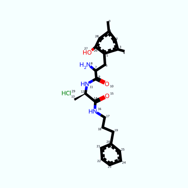 Cc1cc(C)c(CC(N)C(=O)N[C@H](C)C(=O)NCCCc2ccccc2)c(O)c1.Cl